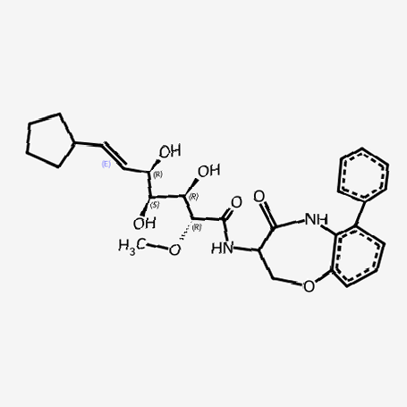 CO[C@@H](C(=O)NC1COc2cccc(-c3ccccc3)c2NC1=O)[C@H](O)[C@@H](O)[C@H](O)/C=C/C1CCCC1